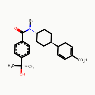 CCN(C(=O)c1ccc([C@](C)(O)C(F)(F)F)cc1)[C@H]1CC[C@H](C2C=CC(C(=O)O)=CC2)CC1